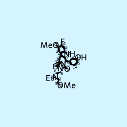 CCN(CCOC)CCN1C(=O)N2C(c3cccc(O)c3)c3[nH]c4cc(F)c(OC)cc4c3CC2(C)C1=O